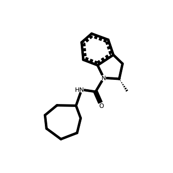 C[C@H]1Cc2ccccc2N1C(=O)NC1CCCCCC1